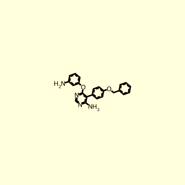 Nc1cccc(Oc2ncnc(N)c2-c2ccc(OCc3ccccc3)cc2)c1